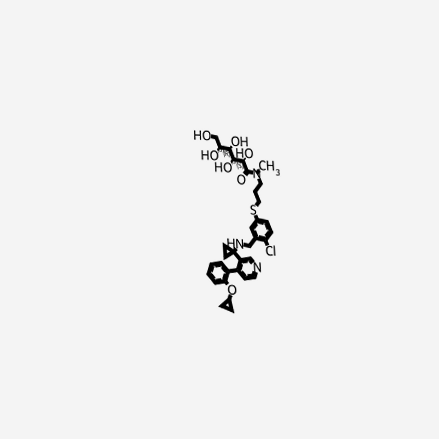 CN(CCCSc1ccc(Cl)c(CNC2(c3cnccc3-c3ccccc3OC3CC3)CC2)c1)C(=O)[C@@H](O)[C@@H](O)[C@H](O)[C@@H](O)CO